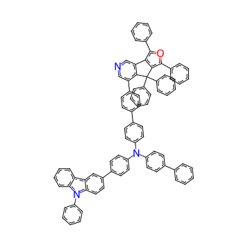 c1ccc(-c2ccc(N(c3ccc(-c4ccc(-c5cncc6c5C(c5ccccc5)(c5ccccc5)c5c(-c7ccccc7)oc(-c7ccccc7)c5-6)cc4)cc3)c3ccc(-c4ccc5c(c4)c4ccccc4n5-c4ccccc4)cc3)cc2)cc1